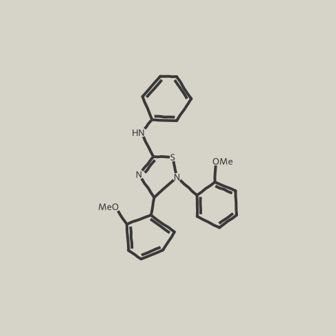 COc1ccccc1C1N=C(Nc2ccccc2)SN1c1ccccc1OC